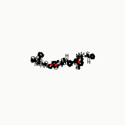 CC(Sc1nnc(-c2coc(-c3ccc(NC(=O)CSc4nnc(-c5ccoc5)n4C(F)(F)c4ccccc4)cc3)c2)n1C(C)c1ccccc1)C(=O)Nc1cccc(-c2cc(-c3nnc(SCC(=O)Nc4ccccc4)n3Cc3ccc(N(C)C)cc3)co2)c1